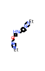 CCN1CCN(CCO[C@H]2C[C@H](NCc3ccc(N4CCN(CC)CC4)cc3)C2)CC1